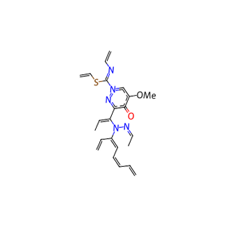 C=C/C=C\C=C(/C=C)N(/N=C\C)/C(=C\C)c1nn(/C(=N/C=C)SC=C)cc(OC)c1=O